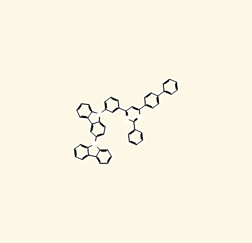 c1ccc(-c2ccc(-c3cc(-c4cccc(-n5c6ccccc6c6cc(-n7c8ccccc8c8ccccc87)ccc65)c4)nc(-c4ccccc4)n3)cc2)cc1